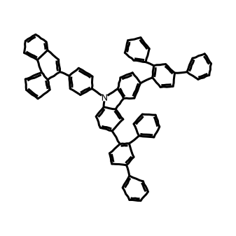 c1ccc(-c2ccc(-c3ccc4c(c3)c3cc(-c5ccc(-c6ccccc6)cc5-c5ccccc5)ccc3n4-c3ccc(-c4cc5ccccc5c5ccccc45)cc3)c(-c3ccccc3)c2)cc1